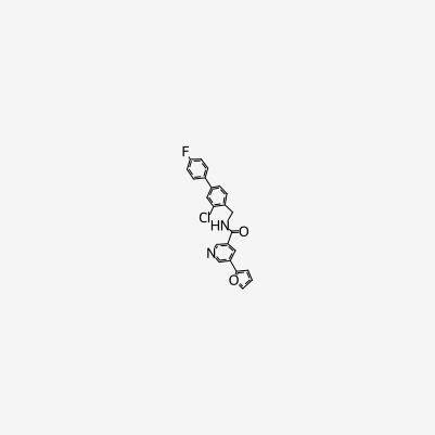 O=C(NCc1ccc(-c2ccc(F)cc2)cc1Cl)c1cncc(-c2ccco2)c1